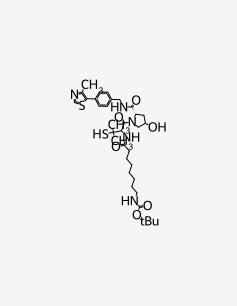 Cc1ncsc1-c1ccc(CNC(=O)[C@@H]2C[C@@H](O)CN2C(=O)[C@@H](NC(=O)CCCCCCCNC(=O)OC(C)(C)C)C(C)(C)S)cc1